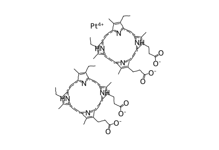 CCC1=C(C)c2cc3[nH]c(cc4nc(cc5[nH]c(cc1n2)c(C)c5CCC(=O)[O-])C(CCC(=O)[O-])=C4C)c(C)c3CC.CCC1=C(C)c2cc3[nH]c(cc4nc(cc5[nH]c(cc1n2)c(C)c5CCC(=O)[O-])C(CCC(=O)[O-])=C4C)c(C)c3CC.[Pt+4]